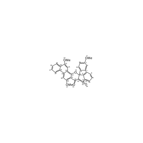 COc1ccc(C2(c3ccccc3F)Oc3c(c(OC)cc4c3cc(OC)c3ccccc34)C(=O)C2=C=O)cc1